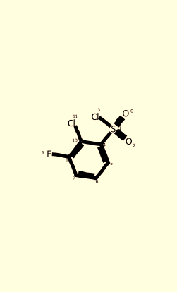 O=S(=O)(Cl)c1cccc(F)c1Cl